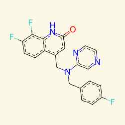 O=c1cc(CN(Cc2ccc(F)cc2)c2cnccn2)c2ccc(F)c(F)c2[nH]1